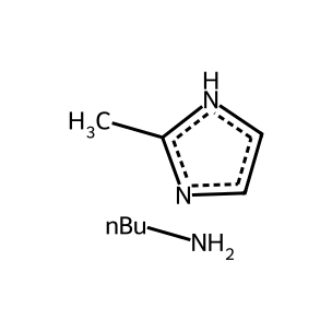 CCCCN.Cc1ncc[nH]1